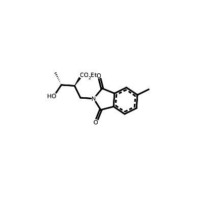 CCOC(=O)[C@@H](CN1C(=O)c2ccc(C)cc2C1=O)[C@@H](C)O